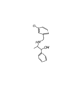 CC(NCc1cccc(Cl)c1)C(O)c1ccccc1